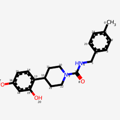 Cc1ccc(CNC(=O)N2CCC(c3ccc(O)cc3O)CC2)cc1